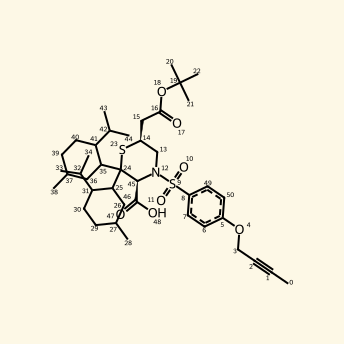 CC#CCOc1ccc(S(=O)(=O)N2C[C@H](CC(=O)OC(C)(C)C)SC(C3CC(C)CCC3C(C)C)(C3CC(C)CCC3C(C)C)[C@@H]2C(=O)O)cc1